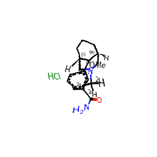 Cl.[2H]C([2H])([2H])N1C[C@H]2CCC[C@@H](C1)[C@@]2(OC)c1cccc(C(N)=O)c1